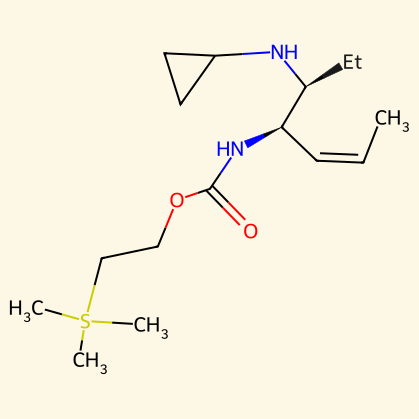 C/C=C\[C@@H](NC(=O)OCCS(C)(C)C)[C@H](CC)NC1CC1